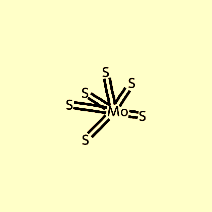 [S]=[Mo](=[S])(=[S])(=[S])(=[S])=[S]